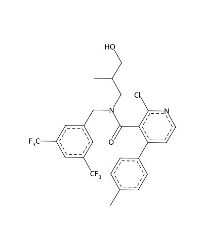 Cc1ccc(-c2ccnc(Cl)c2C(=O)N(Cc2cc(C(F)(F)F)cc(C(F)(F)F)c2)CC(C)CO)cc1